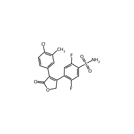 Cc1cc(C2=C(c3cc(F)c(S(N)(=O)=O)cc3F)COC2=O)ccc1Cl